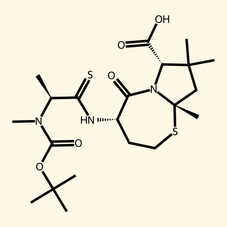 C[C@@H](C(=S)N[C@H]1CCS[C@@]2(C)CC(C)(C)[C@@H](C(=O)O)N2C1=O)N(C)C(=O)OC(C)(C)C